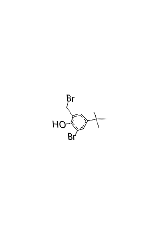 CC(C)(C)c1cc(Br)c(O)c(CBr)c1